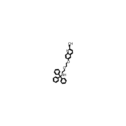 C#Cc1ccc2cc(OCCOCCNC(c3ccccc3)(c3ccccc3)c3ccccc3)ccc2n1